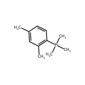 Cc1ccc([P+](C)(C)C)c(C)c1